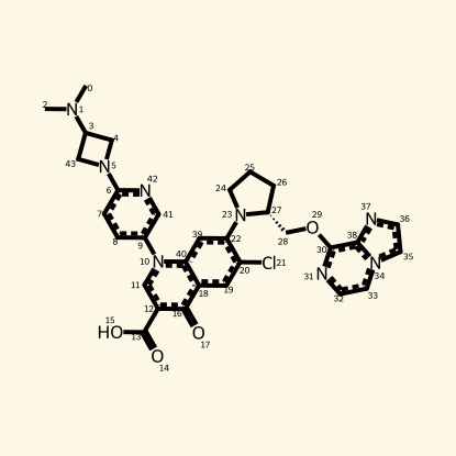 CN(C)C1CN(c2ccc(-n3cc(C(=O)O)c(=O)c4cc(Cl)c(N5CCC[C@@H]5COc5nccn6ccnc56)cc43)cn2)C1